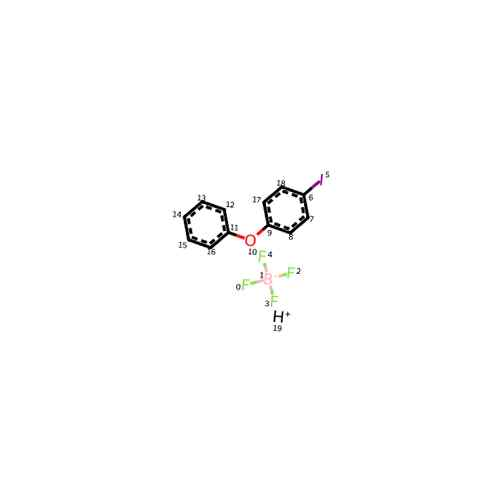 F[B-](F)(F)F.Ic1ccc(Oc2ccccc2)cc1.[H+]